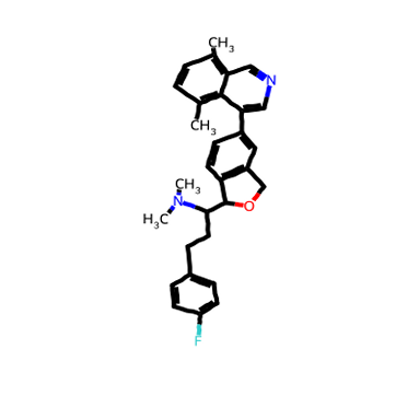 Cc1ccc(C)c2c(-c3ccc4c(c3)COC4C(CCc3ccc(F)cc3)N(C)C)cncc12